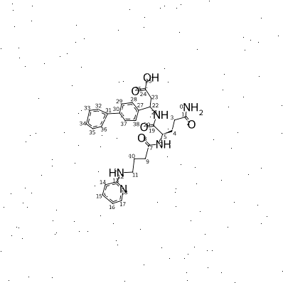 NC(=O)CC[C@@H](NC(=O)CCCNc1ccccn1)C(=O)NC(CC(=O)O)c1ccc(-c2ccccc2)cc1